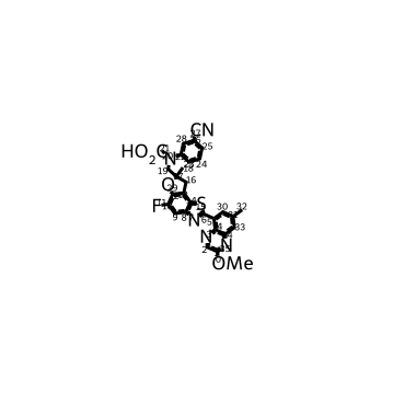 COc1cnc2c(-c3nc4cc(F)c5c(c4s3)CC(C)(CN(C(=O)O)c3cccc(C#N)c3)O5)cc(C)cc2n1